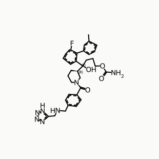 Cc1cccc(-c2c(F)cccc2[C@](O)(CCCOC(N)=O)[C@@H]2CCCN(C(=O)c3ccc(CNCc4nnn[nH]4)cc3)C2)c1